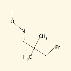 CC(C)CC(C)(C)/C=N/OI